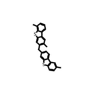 Cc1ccc2sc3cc(Cc4cc5sc6c(C)cccc6c5cc4C)ccc3c2c1